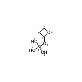 O[Si](O)(O)OC1CCO1